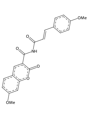 COc1ccc(/C=C/C(=O)NC(=O)c2cc3ccc(OC)cc3oc2=O)cc1